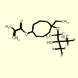 C=C(C)C(=O)OC1CCCC(CC)(OC(C)(C)C(O)(C(F)(F)F)C(F)(F)F)CCC1